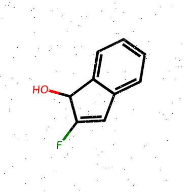 OC1C(F)=Cc2ccccc21